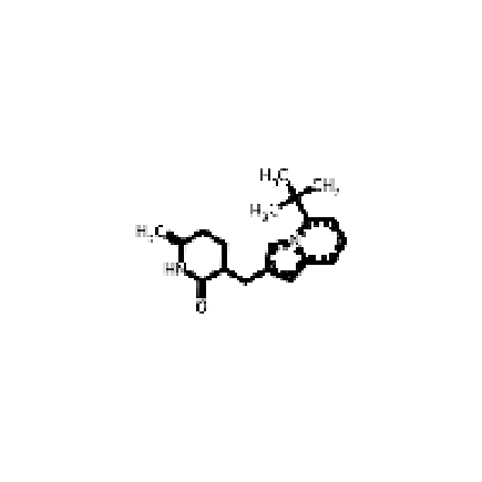 C=C1CCC(Cc2cc3cccc(C(C)(C)C)n3c2)C(=O)N1